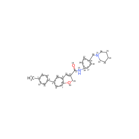 Cc1ccc(-c2ccc3c(c2)C=C(C(=O)Nc2ccc(CN4CCCCC4)cc2)CO3)cc1